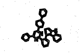 c1ccc(-c2ccc(-c3cc(-c4ccccc4)nc(-c4ccccc4-c4cccc5sc6ccccc6c45)n3)cc2)cc1